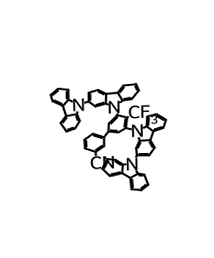 N#Cc1cccc(-c2cc(-n3c4ccccc4c4ccc(-n5c6ccccc6c6ccccc65)cc43)c(C(F)(F)F)c(-n3c4ccccc4c4ccc(-n5c6ccccc6c6ccccc65)cc43)c2)c1